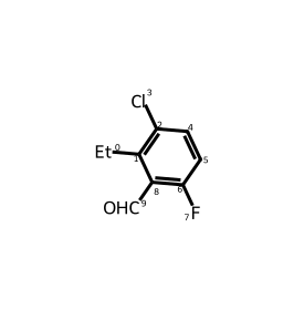 CCc1c(Cl)ccc(F)c1C=O